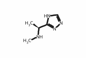 CN[C@@H](C)c1nnc[nH]1